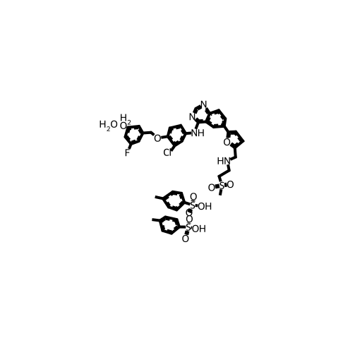 CS(=O)(=O)CCNCc1ccc(-c2ccc3ncnc(Nc4ccc(OCc5cccc(F)c5)c(Cl)c4)c3c2)o1.Cc1ccc(S(=O)(=O)O)cc1.Cc1ccc(S(=O)(=O)O)cc1.O.O